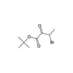 CC(Br)C(=O)C(=O)OC(C)(C)C